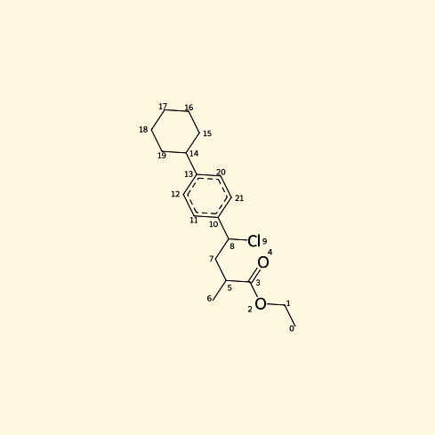 CCOC(=O)C(C)CC(Cl)c1ccc(C2CCCCC2)cc1